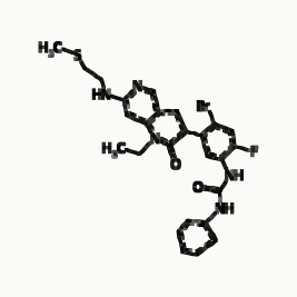 CCn1c(=O)c(-c2cc(NC(=O)Nc3ccccc3)c(F)cc2Br)cc2cnc(NCCSC)cc21